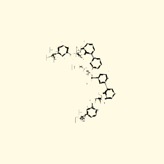 O=C(c1cccc(-c2cccc3nc(Oc4cccc(C(F)(F)F)c4)sc23)c1)N(CCO)c1cccc(-c2cccc3nc(Oc4cccc(C(F)(F)F)c4)sc23)c1